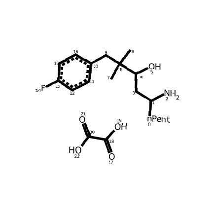 CCCCCC(N)CC(O)C(C)(C)Cc1ccc(F)cc1.O=C(O)C(=O)O